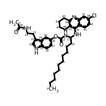 CCCCCCCCCCCC(NC(=O)Oc1ccc2[nH]cc(CCNC(C)=O)c2c1)Nc1c2c(nc3cc(Cl)ccc13)CCCC2